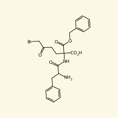 NC(Cc1ccccc1)C(=O)NC(CCC(=O)CBr)(C(=O)O)C(=O)OCc1ccccc1